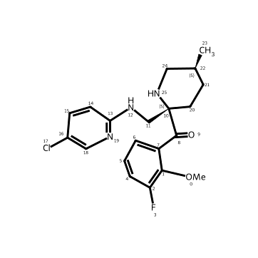 COc1c(F)cccc1C(=O)[C@@]1(CNc2ccc(Cl)cn2)CC[C@H](C)CN1